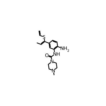 C=CS/C(=C\C)c1ccc(N)c(NC(=O)N2CCN(C)CC2)c1